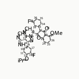 C=Nc1c(/C(N)=N\C)c(-c2ccc(OC(C)C)c(F)c2)nn1Cc1oc2cccc(OC)c2c(=O)c1-c1cccc(F)c1